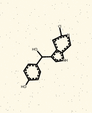 Oc1ccc(C(O)c2c[nH]c3cnc(Cl)cc23)cc1